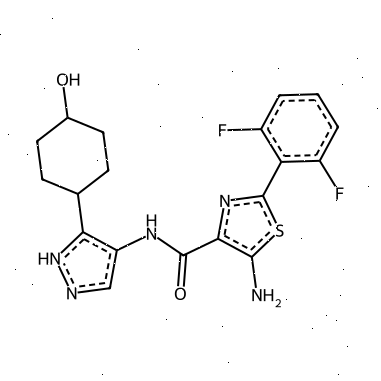 Nc1sc(-c2c(F)cccc2F)nc1C(=O)Nc1cn[nH]c1C1CCC(O)CC1